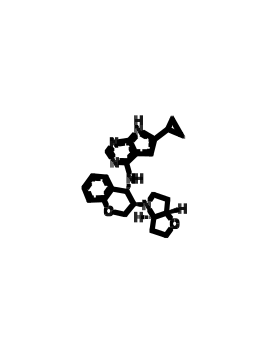 c1ccc2c(c1)OC[C@H](N1CC[C@@H]3OCC[C@H]31)[C@H]2Nc1ncnc2[nH]c(C3CC3)cc12